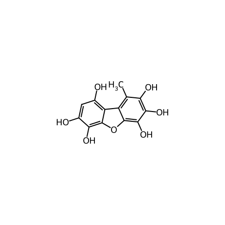 Cc1c(O)c(O)c(O)c2oc3c(O)c(O)cc(O)c3c12